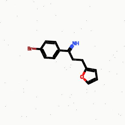 N=C(CCc1ccco1)c1ccc(Br)cc1